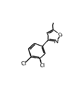 Cc1cc(-c2ccc(Cl)c(Cl)c2)no1